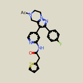 CC(=O)N1CCn2nc(-c3ccc(F)cc3)c(-c3ccnc(NC(=O)Cc4cccs4)c3)c2C1